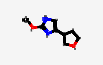 COc1nc(C2CCOC2)c[nH]1